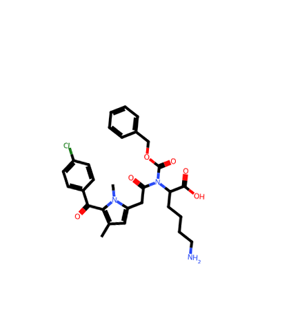 Cc1cc(CC(=O)N(C(=O)OCc2ccccc2)C(CCCCN)C(=O)O)n(C)c1C(=O)c1ccc(Cl)cc1